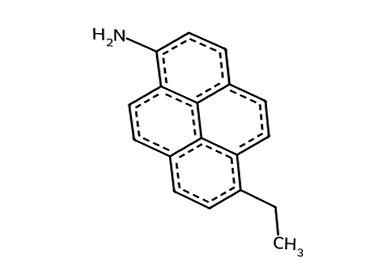 CCc1ccc2ccc3c(N)ccc4ccc1c2c43